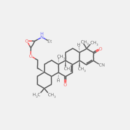 CCNC1OC1OCC[C@]12CCC(C)(C)CC1[C@@H]1C(=O)C=C3[C@@]4(C)C=C(C#N)C(=O)C(C)(C)[C@@H]4CC[C@@]3(C)[C@]1(C)CC2